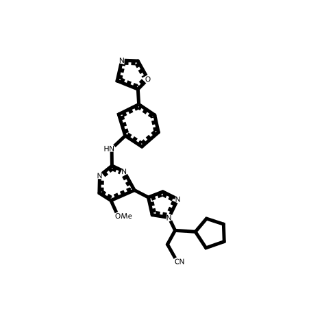 COc1cnc(Nc2cccc(-c3cnco3)c2)nc1-c1cnn(C(CC#N)C2CCCC2)c1